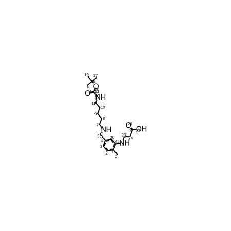 Cc1ccc(SNCCCCCNC(=O)OC(C)(C)C)cc1NCCC(=O)O